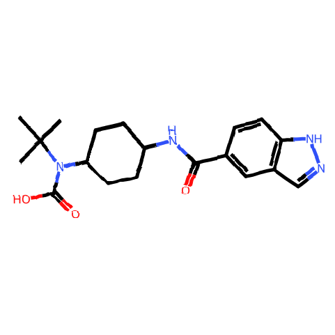 CC(C)(C)N(C(=O)O)C1CCC(NC(=O)c2ccc3[nH]ncc3c2)CC1